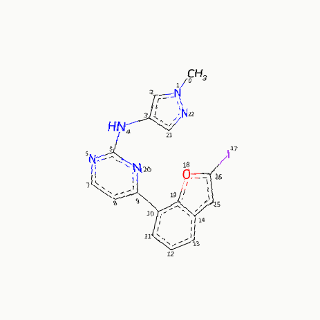 Cn1cc(Nc2nccc(-c3cccc4cc(I)oc34)n2)cn1